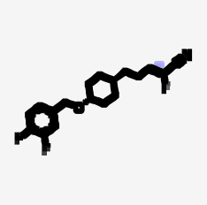 N#C/C(F)=C/CC[C@H]1CC[C@H](OCc2ccc(F)c(F)c2)CC1